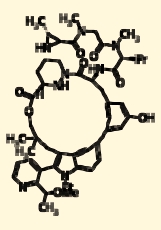 CCn1c(-c2cccnc2[C@H](C)OC)c2c3cc(ccc31)-c1cc(O)cc(c1)C[C@H](NC(=O)[C@H](C(C)C)N(C)C(=O)CN(C)C(=O)[C@H]1N[C@@H]1C)C(=O)N1CCC[C@H](N1)C(=O)OCC(C)(C)C2